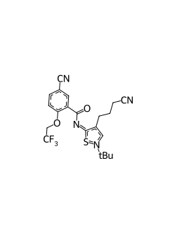 CC(C)(C)n1cc(CCCC#N)c(=NC(=O)c2cc(C#N)ccc2OCC(F)(F)F)s1